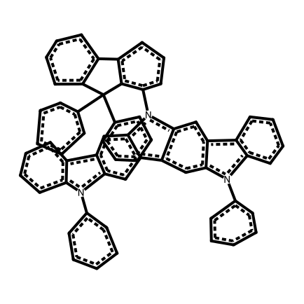 c1ccc(-n2c3ccccc3c3cc4c(cc32)c2cc3c(cc2n4-c2cccc4c2C(c2ccccc2)(c2ccccc2)c2ccccc2-4)c2ccccc2n3-c2ccccc2)cc1